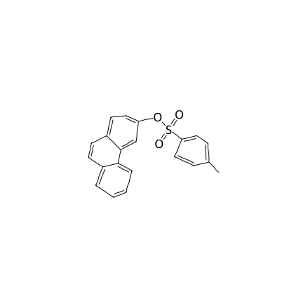 Cc1ccc(S(=O)(=O)Oc2ccc3ccc4ccccc4c3c2)cc1